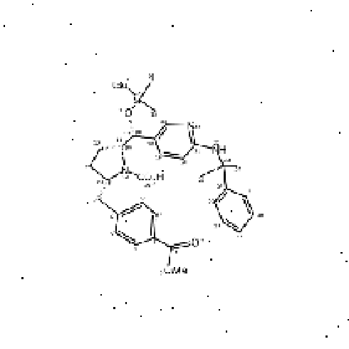 COC(=O)c1ccc(C[C@@H]2CC[C@H]([C@H](O[Si](C)(C)C(C)(C)C)c3ccc(NC(C)(C)c4ccccc4)nc3)N2C(=O)O)cc1